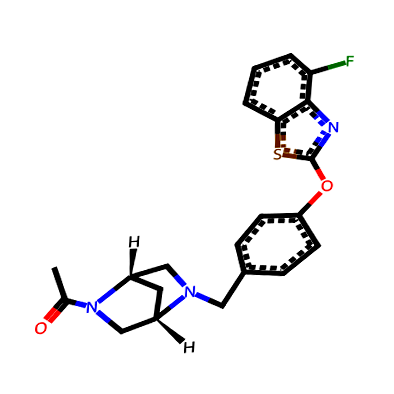 CC(=O)N1C[C@@H]2C[C@H]1CN2Cc1ccc(Oc2nc3c(F)cccc3s2)cc1